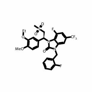 CCOc1cc([C@@H](CS(C)(=O)=O)n2c(=O)n(Cc3ccccc3F)c3cc(C(F)(F)F)cc(F)c32)ccc1OC